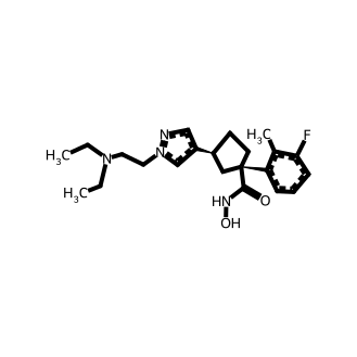 CCN(CC)CCn1cc([C@H]2CC[C@@](C(=O)NO)(c3cccc(F)c3C)C2)cn1